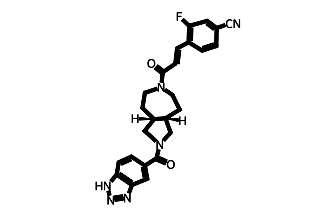 N#Cc1ccc(/C=C/C(=O)N2CC[C@@H]3CN(C(=O)c4ccc5[nH]nnc5c4)C[C@@H]3CC2)c(F)c1